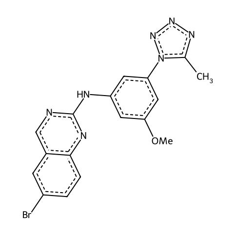 COc1cc(Nc2ncc3cc(Br)ccc3n2)cc(-n2nnnc2C)c1